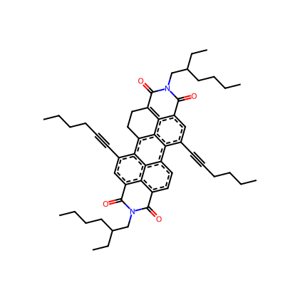 CCCCC#Cc1cc2c3c(ccc4c5c(C#CCCCC)cc6c7c5c(c1c34)CCC=7C(=O)N(CC(CC)CCCC)C6=O)C(=O)N(CC(CC)CCCC)C2=O